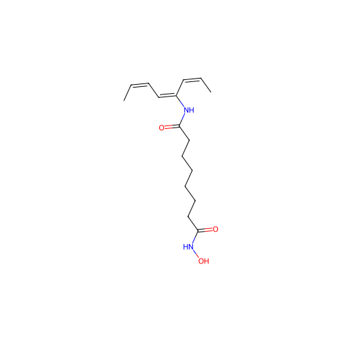 C\C=C/C=C(\C=C/C)NC(=O)CCCCCCC(=O)NO